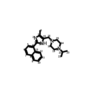 Cc1nc(-c2cccc3ccccc23)[nH]c1CN1CCN(C(C)C)CC1